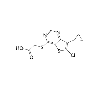 O=C(O)CSc1ncnc2c(C3CC3)c(Cl)sc12